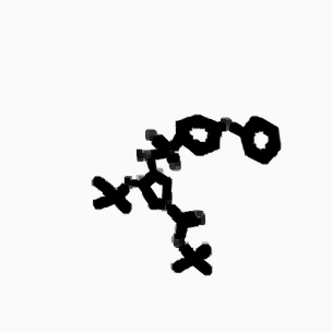 CC(C)(C)OC(=O)N1C[C@H](NS(=O)(=O)c2ccc(Oc3ccccc3)cc2)[C@@H](SC(C)(C)C)C1